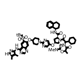 CNC(=O)OC(C)C(=O)NC(C(=O)N1C[C@@H](Oc2cnc(N3CCC(Oc4cc5ncnc(Nc6n[nH]c(C)c6C)c5cc4S(=O)(=O)C(C)(C)C)CC3)nc2)C[C@H]1C(=O)N[C@@H]1CCCc2ccccc21)C1CCCCC1